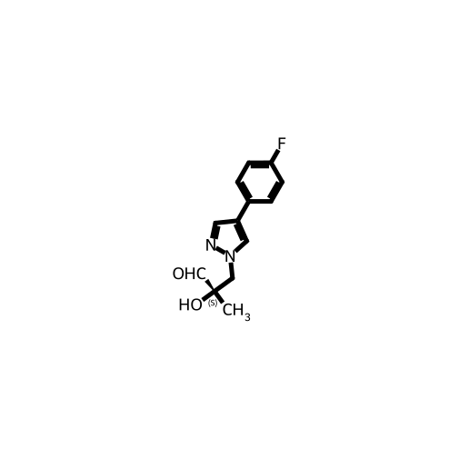 C[C@@](O)(C=O)Cn1cc(-c2ccc(F)cc2)cn1